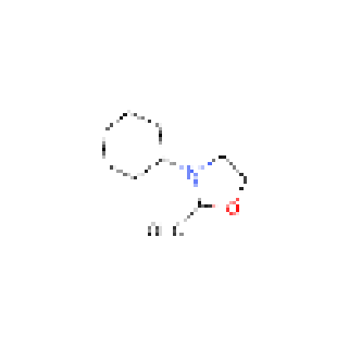 O=CC1OCCN1C1CCCCC1